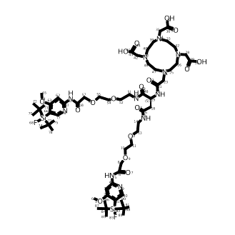 COc1cc(NC(=O)COCCOCCNC(=O)C[C@H](NC(=O)CN2CCN(CC(=O)O)CCN(CC(=O)O)CCN(CC(=O)O)CC2)C(=O)NCCOCCOCC(=O)Nc2cc(OC)c([Si](F)(C(C)(C)C)C(C)(C)C)cn2)ncc1[Si](F)(C(C)(C)C)C(C)(C)C